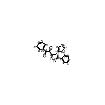 O=C(C(=O)c1nnc2c3ccccc3n3cncc3n12)c1ccccc1